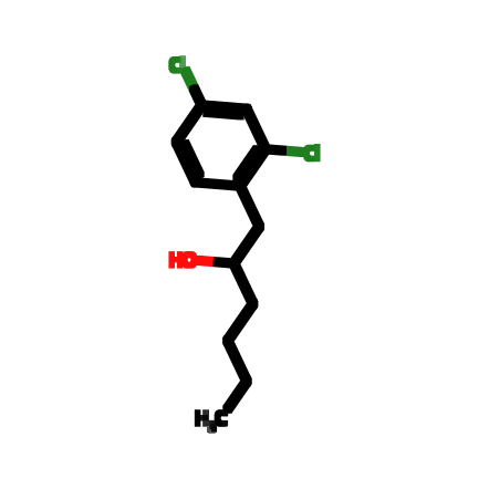 CCCCC(O)Cc1ccc(Cl)cc1Cl